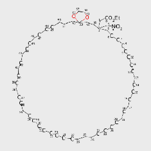 CCOC(=O)CC1(C[N+](=O)[O-])CCCCCCCCCCCCCCCCCCCCCCCCCCCCCCCCCCCCCCCCCCCCCCCCC2(CC1)OCCO2